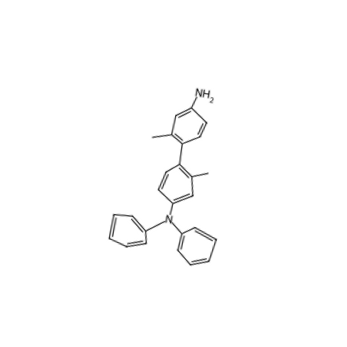 Cc1cc(N)ccc1-c1ccc(N(c2ccccc2)c2ccccc2)cc1C